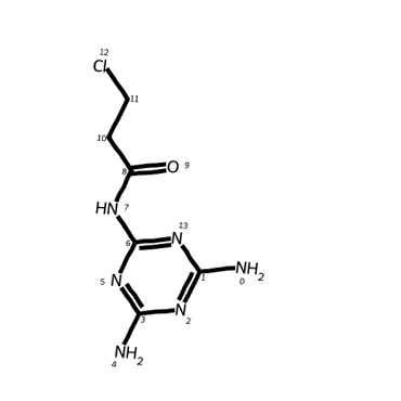 Nc1nc(N)nc(NC(=O)CCCl)n1